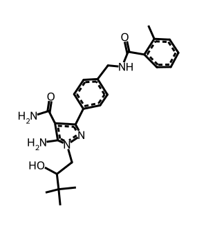 Cc1ccccc1C(=O)NCc1ccc(-c2nn(CC(O)C(C)(C)C)c(N)c2C(N)=O)cc1